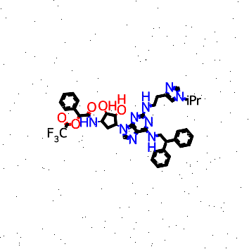 CC(C)n1cnc(CCNc2nc(NCC(c3ccccc3)c3ccccc3)c3ncn([C@@H]4C[C@H](NC(=O)C(OC(=O)C(F)(F)F)c5ccccc5)[C@@H](O)[C@H]4O)c3n2)c1